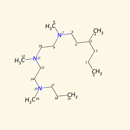 CCCC(C)CCN(C)CCN(C)CCN(C)CCC